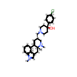 CN1C[C@H](CN2CCC(O)(c3ccc(Cl)cc3)CC2)C=C2c3cccc4c3c(cn4C)C[C@H]21